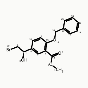 COC(=O)c1cc([C@@H](O)CBr)ccc1OCc1ccccc1